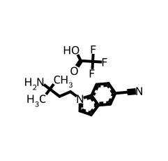 CC(C)(N)CCn1ccc2cc(C#N)ccc21.O=C(O)C(F)(F)F